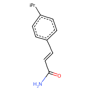 CC(C)c1ccc(C=CC(N)=O)cc1